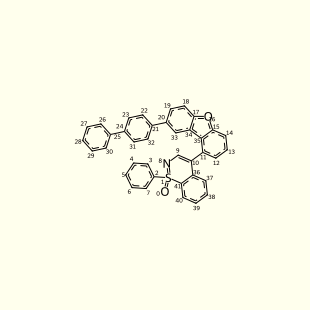 O=S1(c2ccccc2)=NC=C(c2cccc3oc4ccc(-c5ccc(-c6ccccc6)cc5)cc4c23)c2ccccc21